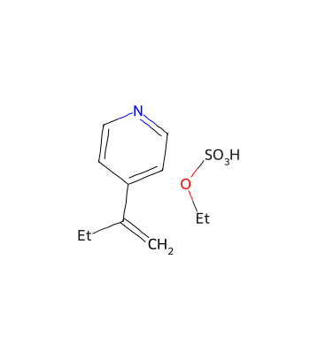 C=C(CC)c1ccncc1.CCOS(=O)(=O)O